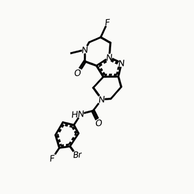 CN1CC(F)Cn2nc3c(c2C1=O)CN(C(=O)Nc1ccc(F)c(Br)c1)CC3